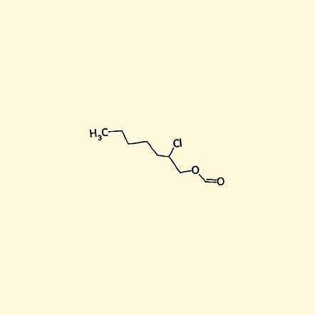 CCCCCC(Cl)COC=O